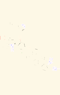 Cc1c(COc2cc(OCc3cncc(C#N)c3)c(CNC(C)(CO)C(=O)O)cc2Cl)cccc1-c1cccc(-c2ccc3c(c2)NCCNC3)c1C